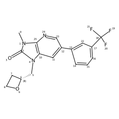 Cn1c(=O)n(C[C@H]2CCO2)c2cc(-c3cccc(C(F)(F)F)c3)cnc21